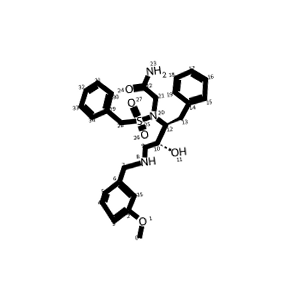 COc1cccc(CNC[C@@H](O)[C@H](Cc2ccccc2)N(CC(N)=O)S(=O)(=O)Cc2ccccc2)c1